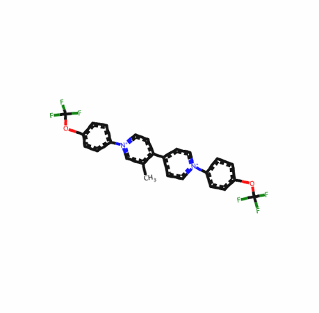 Cc1c[n+](-c2ccc(OC(F)(F)F)cc2)ccc1-c1cc[n+](-c2ccc(OC(F)(F)F)cc2)cc1